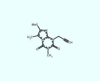 C#CCn1c(=O)n(C)c(=O)n2c(C)c(SC)nc12